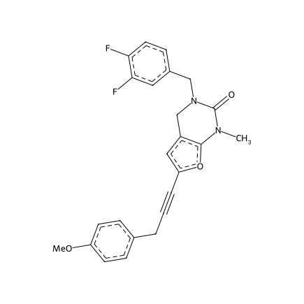 COc1ccc(CC#Cc2cc3c(o2)N(C)C(=O)N(Cc2ccc(F)c(F)c2)C3)cc1